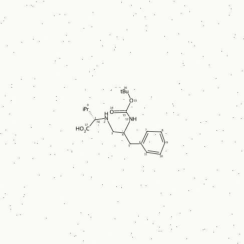 CC(C)[C@H](NCC(Cc1ccccc1)NC(=O)OC(C)(C)C)C(=O)O